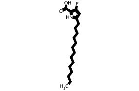 CCCCCCCCCCCCCCc1cc(F)c(C(=O)O)[nH]1